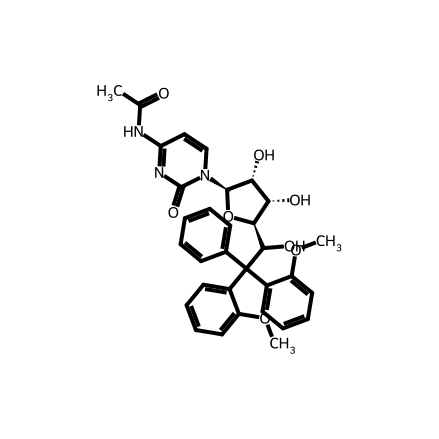 COc1ccccc1C(c1ccccc1)(c1ccccc1OC)C(O)[C@H]1O[C@@H](n2ccc(NC(C)=O)nc2=O)[C@H](O)[C@@H]1O